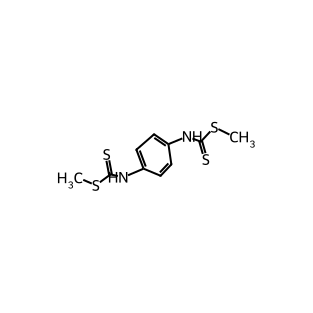 CSC(=S)Nc1ccc(NC(=S)SC)cc1